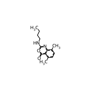 CCCCNc1nc2c(C)ccc(C)c2c(=O)o1